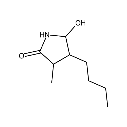 CCCCC1C(O)NC(=O)C1C